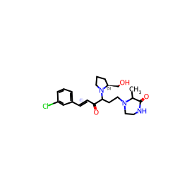 CC1C(=O)NCCN1CCC(C(=O)/C=C/c1cccc(Cl)c1)N1CCC[C@H]1CO